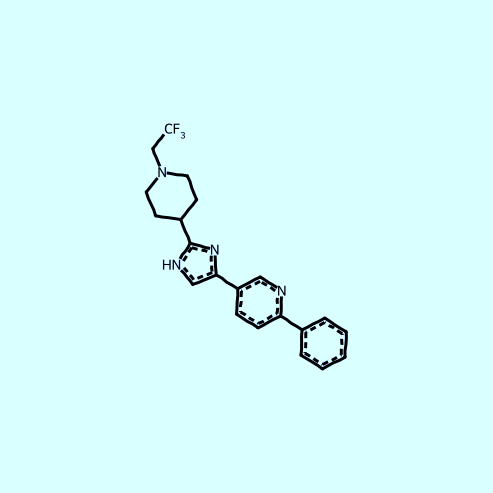 FC(F)(F)CN1CCC(c2nc(-c3ccc(-c4ccccc4)nc3)c[nH]2)CC1